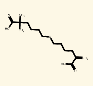 C=C(CCCCOCCCCC(C)(C)C(=O)O)C(=O)O